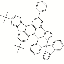 CC(C)(C)c1ccc2c(c1)c1cc(C(C)(C)C)cc3c1n2-c1cc(-c2ccccc2)cc2c1B3N1c3ccccc3[Si]3(c4ccccc4-c4ccccc43)c3cccc-2c31